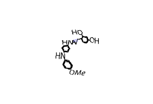 COc1ccc(Nc2ccc(N/N=C/c3ccc(O)cc3O)cc2)cc1